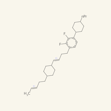 C/C=C/CCC1CCC(/C=C/CCc2ccc(C3CCC(CCC)CC3)c(F)c2F)CC1